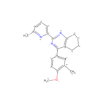 COc1ccc(-c2nc(-c3cccc(C)n3)nc3c2CCCC3)cc1C